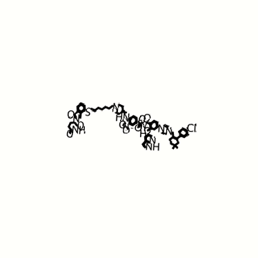 CC1(C)CCC(CN2CCN(c3ccc(C(=O)NS(=O)(=O)c4ccc(NCC5CCN(CCCCCCCSc6cccc7c6CN(C6CCC(=O)NC6=O)C7=O)CC5)c([N+](=O)[O-])c4)c(Oc4cnc5[nH]ccc5c4)c3)CC2)=C(c2ccc(Cl)cc2)C1